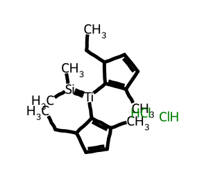 CCC1C=CC(C)=[C]1[Ti]([C]1=C(C)C=CC1CC)=[Si](C)C.Cl.Cl